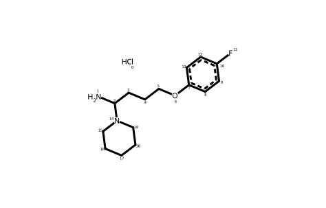 Cl.NC(CCCOc1ccc(F)cc1)N1CCCCC1